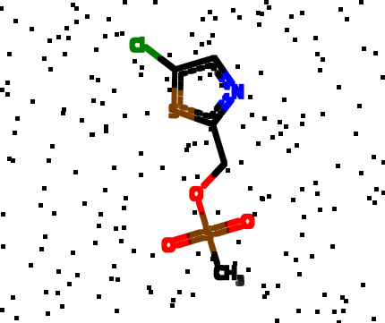 CS(=O)(=O)OCc1ncc(Cl)s1